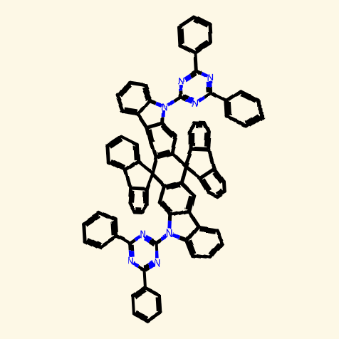 c1ccc(-c2nc(-c3ccccc3)nc(-n3c4ccccc4c4cc5c(cc43)C3(c4ccccc4-c4ccccc43)c3cc4c6ccccc6n(-c6nc(-c7ccccc7)nc(-c7ccccc7)n6)c4cc3C53c4ccccc4-c4ccccc43)n2)cc1